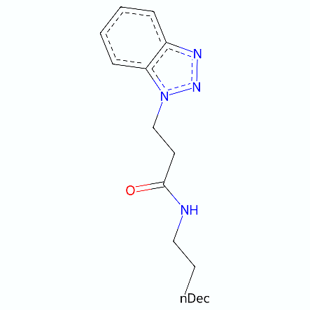 CCCCCCCCCCCCNC(=O)CCn1nnc2ccccc21